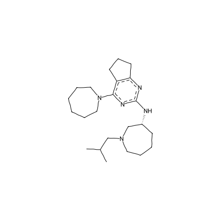 CC(C)CN1CCCC[C@@H](Nc2nc3c(c(N4CCCCCC4)n2)CCC3)C1